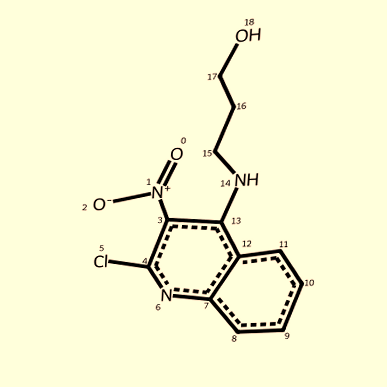 O=[N+]([O-])c1c(Cl)nc2ccccc2c1NCCCO